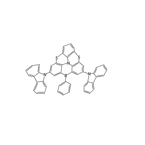 c1ccc(B2c3cc(-n4c5ccccc5c5ccccc54)cc4c3N3c5c(cccc5Sc5cc(-n6c7ccccc7c7ccccc76)cc2c53)S4)cc1